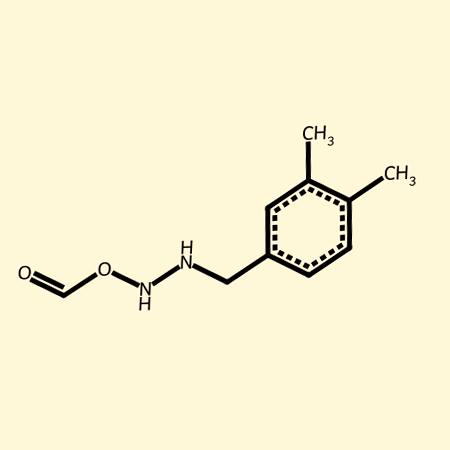 Cc1ccc(CNNOC=O)cc1C